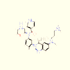 Cc1ccc(N(C(=O)c2ccncc2)C2CNCCO2)cc1N1C=Nc2ccc(N(C)CCCN(C)C)cc2C1C=O